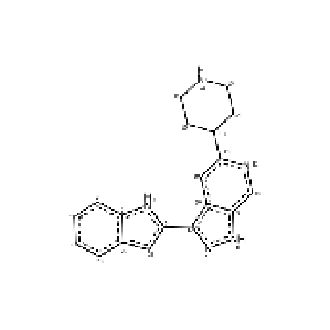 c1ccc2[nH]c(-c3n[nH]c4cnc(C5CCNCC5)cc34)cc2c1